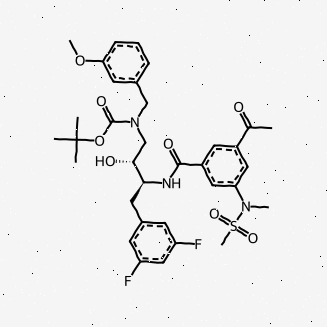 COc1cccc(CN(C[C@@H](O)[C@H](Cc2cc(F)cc(F)c2)NC(=O)c2cc(C(C)=O)cc(N(C)S(C)(=O)=O)c2)C(=O)OC(C)(C)C)c1